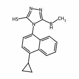 CBc1nnc(S)n1-c1ccc(C2CC2)c2ccccc12